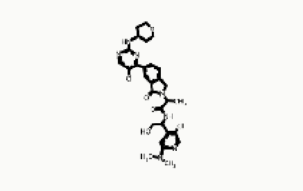 CC(C(=O)NC(CO)c1cc(N(C)C)ncc1Cl)N1Cc2ccc(-c3nc(NC4CCOCC4)ncc3Cl)cc2C1=O